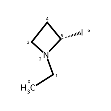 CCN1CC[C@@H]1I